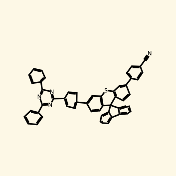 N#Cc1ccc(-c2ccc3c(c2)Sc2cc(-c4ccc(-c5nc(-c6ccccc6)nc(-c6ccccc6)n5)cc4)ccc2C32c3ccccc3-c3ccccc32)cc1